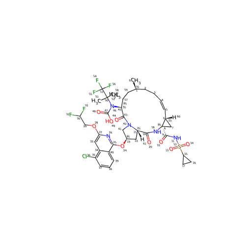 C[C@H]1CCC=C[C@@H]2C[C@@]2(C(=O)NS(=O)(=O)C2CC2)NC(=O)[C@@H]2C[C@@H](Oc3nc(OCC(F)F)cc4c(Cl)cccc34)CN2C(=O)[C@@H](N(C(=O)O)C(C)(C)C(F)(F)F)[C@H](C)C1